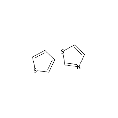 c1ccsc1.c1cscn1